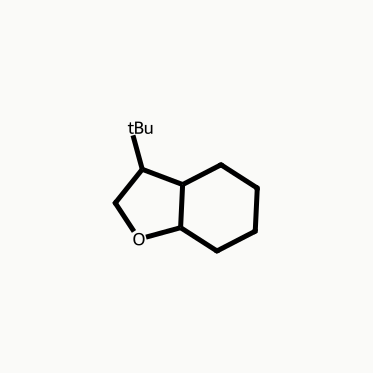 CC(C)(C)C1COC2CCCCC21